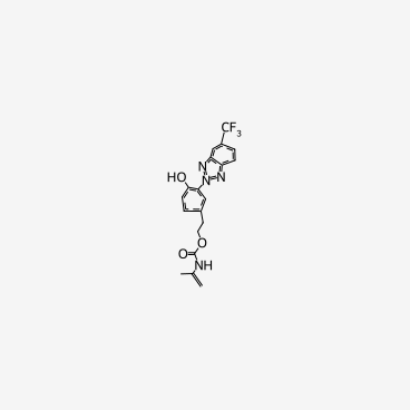 C=C(C)NC(=O)OCCc1ccc(O)c(-n2nc3ccc(C(F)(F)F)cc3n2)c1